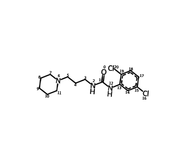 O=C(NCCCN1CCCCC1)Nc1cc(Cl)ccc1Cl